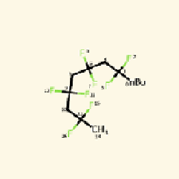 CCCCC(F)(F)CC(F)(F)CC(F)(F)CC(C)(F)F